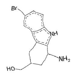 NC1CC(CO)Cc2c1[nH]c1ccc(Br)cc21